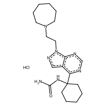 Cl.NC(=O)NC1(c2ncnc3c2cnn3CCN2CCCCCC2)CCCCC1